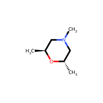 C[C@H]1CN(C)C[C@H](C)O1